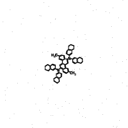 Cc1ccc2c(N(c3ccc4c(c3)CCCC4)c3ccc4c(c3)CCCC4)cc3c4cc(C)ccc4c(N(c4ccc5c(c4)CCCC5)c4ccc5c(c4)CCCC5)cc3c2c1